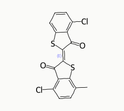 Cc1ccc(Cl)c2c1S/C(=C1/Sc3cccc(Cl)c3C1=O)C2=O